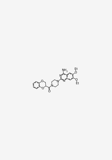 CCOc1cc2nc(N3CCN(C(=O)C4COc5ccccc5O4)CC3)nc(N)c2cc1OCC